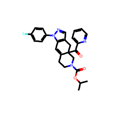 CC(C)OC(=O)N1CCC2=Cc3c(cnn3-c3ccc(F)cc3)CC2(C(=O)c2ccccn2)C1